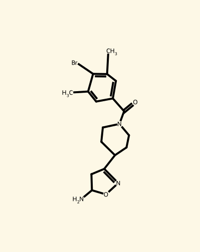 Cc1cc(C(=O)N2CCC(C3=NOC(N)C3)CC2)cc(C)c1Br